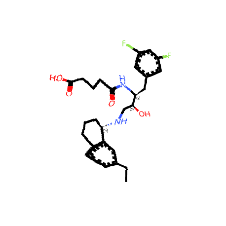 CCc1ccc2c(c1)[C@@H](NC[C@H](O)[C@H](Cc1cc(F)cc(F)c1)NC(=O)CCCC(=O)O)CCC2